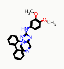 COc1ccc(NC2=N[N+]3(c4ccccc4-c4ccccc4)C=CN=CC3=N2)cc1OC